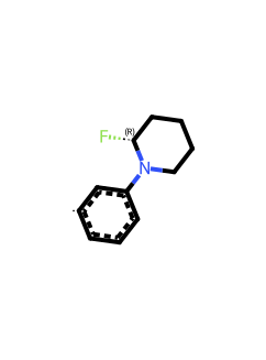 F[C@@H]1CCCCN1c1c[c]ccc1